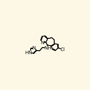 Clc1ccc2c(c1)CCc1cccnc1C2NCCc1c[nH]cn1